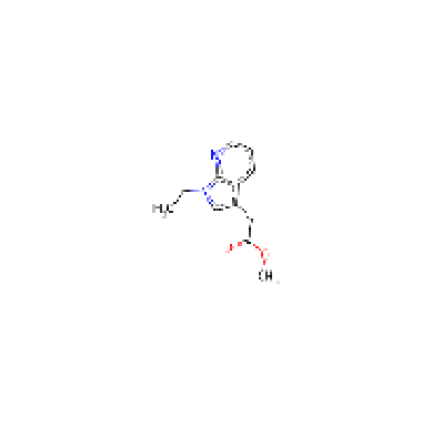 CCn1cc(CC(=O)OC)c2cccnc21